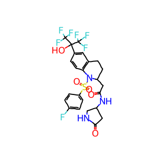 O=C1CC(NC(=O)CC2CCc3cc(C(O)(C(F)(F)F)C(F)(F)F)ccc3N2S(=O)(=O)c2ccc(F)cc2)CN1